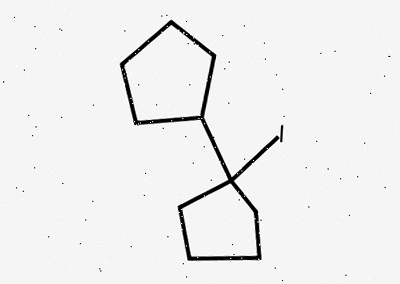 IC1(C2CCCC2)CCCC1